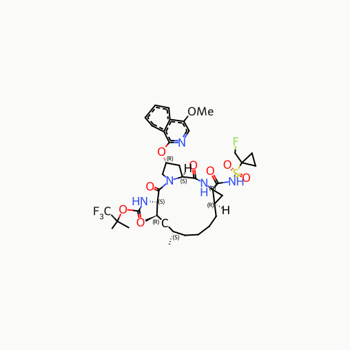 COc1cnc(O[C@@H]2C[C@H]3C(=O)N[C@]4(C(=O)NS(=O)(=O)C5(CF)CC5)C[C@H]4CCCC[C@H](C)C[C@@H](C)[C@H](NC(=O)OC(C)(C)C(F)(F)F)C(=O)N3C2)c2ccccc12